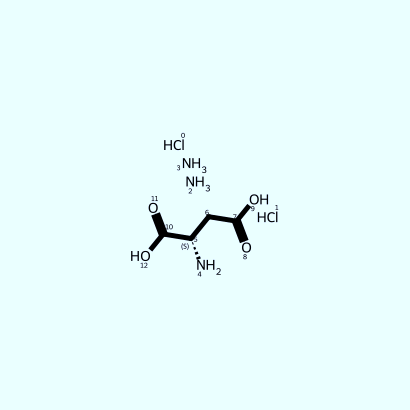 Cl.Cl.N.N.N[C@@H](CC(=O)O)C(=O)O